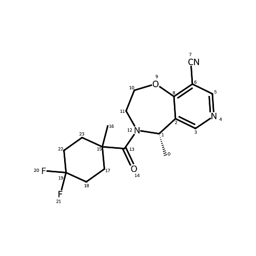 C[C@H]1c2cncc(C#N)c2OCCN1C(=O)C1(C)CCC(F)(F)CC1